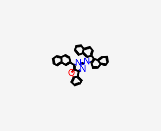 c1ccc2cc(-c3nc(-n4c5ccc6ccccc6c5c5ccc6ccccc6c54)nc4c3oc3ccccc34)ccc2c1